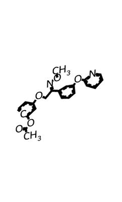 CON=C(COc1cccc(OC(C)=O)c1)c1cccc(Oc2ccccn2)c1